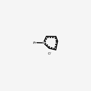 CC(C)[n+]1ccccc1.[Cl-]